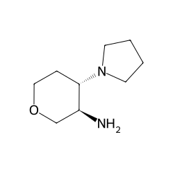 N[C@H]1COCC[C@@H]1N1CCCC1